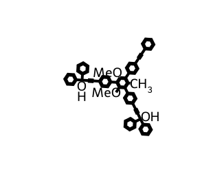 COc1c(-c2ccc(C#Cc3ccccc3)cc2)c(C)c(-c2ccc(C#CC(O)(c3ccccc3)c3ccccc3)cc2)c(OC)c1-c1ccc(C#CC(O)(c2ccccc2)c2ccccc2)cc1